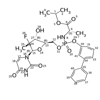 CC(C)OC(=O)[C@H](C)NP(=O)(OC[C@H]1O[C@@H](n2ccc(=O)[nH]c2=O)[C@](C)(F)[C@@H]1O)Oc1cccc(-c2ccccc2)c1